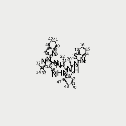 Cc1cc(C)c(Nc2nc(Nc3nc4ccccc4s3)cc(C)c2N=Nc2c(C#N)c(C(C)(C)C)nn2-c2nc3ccccc3s2)c(C)c1